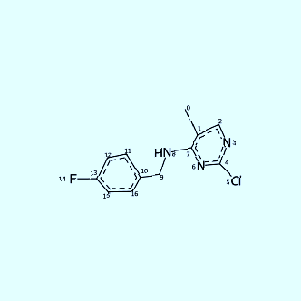 Cc1cnc(Cl)nc1NCc1ccc(F)cc1